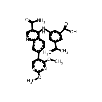 C=C(C)c1cc(Nc2c(C(N)=O)cnc3cc(-c4cnc(OC)nc4OC)ccc23)cc(C(=O)O)c1